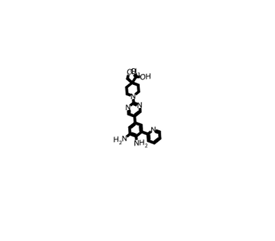 CCC1(C(=O)O)CCN(c2ncc(-c3cc(N)c(N)c(-c4ccccn4)c3)cn2)CC1